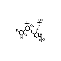 COc1c(C=Cc2ccc(NS(C)(=O)=O)cc2COCCC(C)(C)O)cc(-c2cc(F)c[nH]c2=O)cc1C(C)(C)C